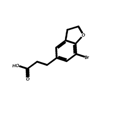 O=C(O)CCc1cc(Br)c2c(c1)CCO2